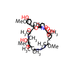 CO[C@H]1CC2CC[C@@H](C)[C@@](O)(OC2)C(=O)C(=O)N2CCCC[C@H]2C(=O)O[C@H]([C@H](C)C[C@@H]2CC[C@@H](O)[C@H](OC)C2)CC(=O)[C@H](C)/C=C(\C)[C@@H](O)[C@@H](OC)C(=O)[C@H](C)C[C@H](C)/C=C/C=C/C=C/1C